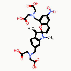 C=C1c2ccc(CN(CC(=O)O)CC(=O)O)cc2N(C)C12C=Cc1cc([N+](=O)[O-])cc(CN(CC(=O)O)CC(=O)O)c1O2